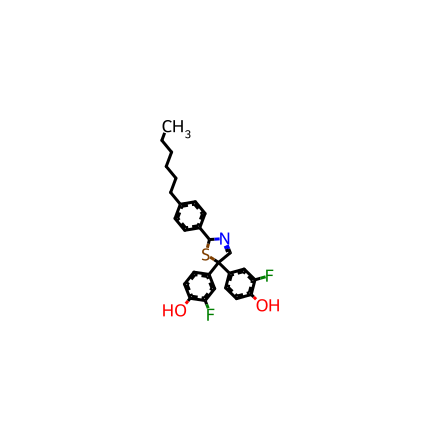 CCCCCCc1ccc(C2N=CC(c3ccc(O)c(F)c3)(c3ccc(O)c(F)c3)S2)cc1